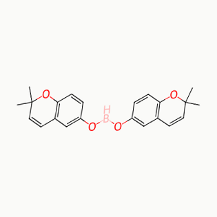 CC1(C)C=Cc2cc(OBOc3ccc4c(c3)C=CC(C)(C)O4)ccc2O1